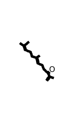 C=C(C)C(=O)CC/C=C(\C)CCC=C(C)C